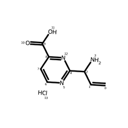 C=CC(N)c1nccc(C(=O)O)n1.Cl